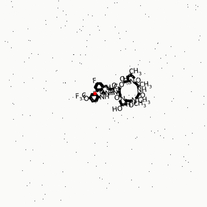 C[C@@H]1C[C@H]2C(=O)O[C@@H](C)[C@H](NC(=O)[C@H](Cc3cc(F)cc(F)c3)NC(=O)Nc3ccc(OC(F)(F)F)cc3)C(=O)N3C[C@H](O)C[C@H]3C(=O)N(C)[C@@H](C)C(=O)N[C@@H](C)C(=O)N2C1